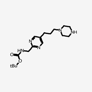 CC(C)(C)OC(=O)NCc1ncc(CCCN2CCNCC2)cn1